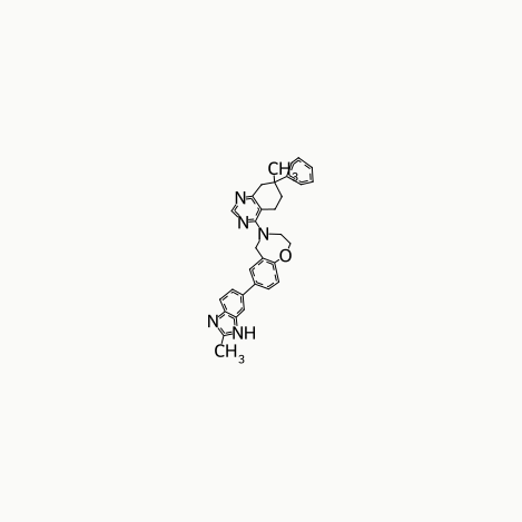 Cc1nc2ccc(-c3ccc4c(c3)CN(c3ncnc5c3CCC(C)(c3ccccc3)C5)CCO4)cc2[nH]1